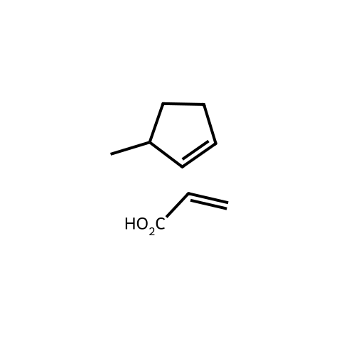 C=CC(=O)O.CC1C=CCC1